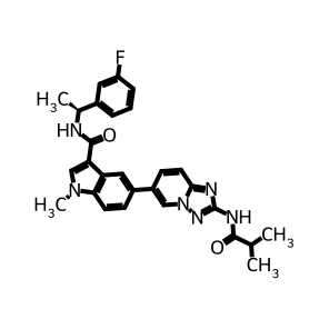 CC(C)C(=O)Nc1nc2ccc(-c3ccc4c(c3)c(C(=O)N[C@@H](C)c3cccc(F)c3)cn4C)cn2n1